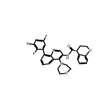 O=C(Nc1cnc2c(-c3cc(F)cc(F)c3F)cccc2c1N1CCOCC1)[C@H]1CCOc2ccccc21